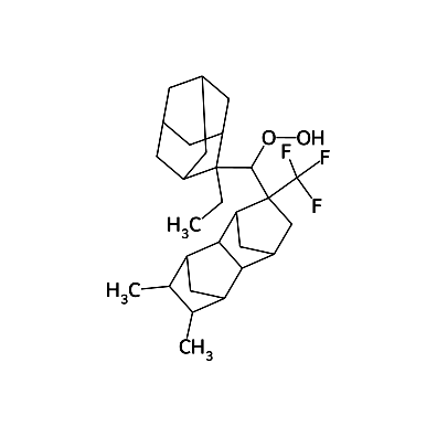 CCC1(C(OO)C2(C(F)(F)F)CC3CC2C2C4CC(C(C)C4C)C32)C2CC3CC(C2)CC1C3